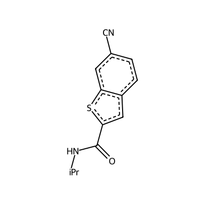 CC(C)NC(=O)c1cc2ccc(C#N)cc2s1